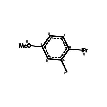 COc1ccc(C(C)C)c(C)c1